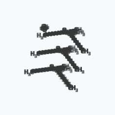 CCCCCCCCCCCCCC(=O)OC[C@H](CC=C[N+](C)(C)C)OC(=O)CCCCCCCCCCCCC.CCCCCCCCCCCCCC(=O)OC[C@H](CC=C[N+](C)(C)C)OC(=O)CCCCCCCCCCCCC.CCCCCCCCCCCCCC(=O)OC[C@H](CC=C[N+](C)(C)C)OC(=O)CCCCCCCCCCCCC.O=P([O-])([O-])[O-]